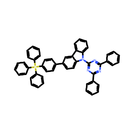 c1ccc(-c2nc(-c3ccccc3)nc(-n3c4ccccc4c4cc(-c5ccc(S(c6ccccc6)(c6ccccc6)c6ccccc6)cc5)ccc43)n2)cc1